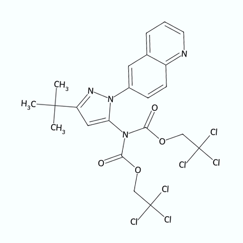 CC(C)(C)c1cc(N(C(=O)OCC(Cl)(Cl)Cl)C(=O)OCC(Cl)(Cl)Cl)n(-c2ccc3ncccc3c2)n1